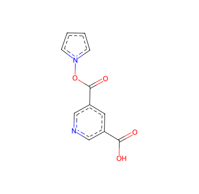 O=C(O)c1cncc(C(=O)On2cccc2)c1